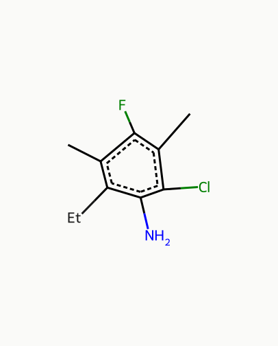 CCc1c(C)c(F)c(C)c(Cl)c1N